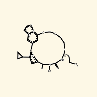 CCN1C(=O)N[C@@H](CCC(F)(F)F)CCCCCOc2cc(cc3ccnn23)-n2nc(cc2C2CC2)C1C